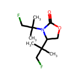 CC(C)(CF)C1COC(=O)N1C(C)(C)CF